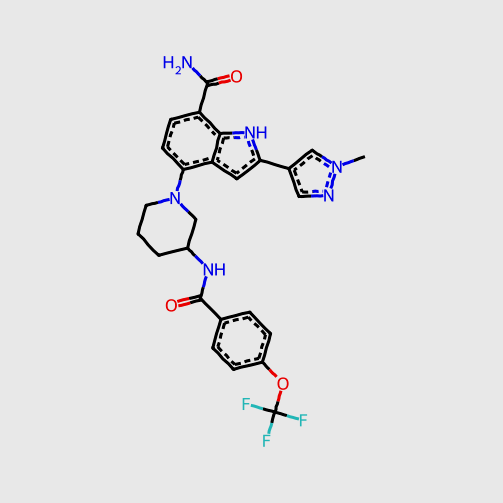 Cn1cc(-c2cc3c(N4CCCC(NC(=O)c5ccc(OC(F)(F)F)cc5)C4)ccc(C(N)=O)c3[nH]2)cn1